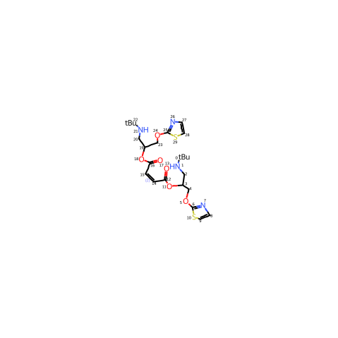 CC(C)(C)NCC(COc1nccs1)OC(=O)/C=C\C(=O)OC(CNC(C)(C)C)COc1nccs1